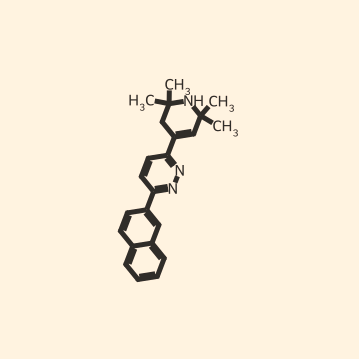 CC1(C)C=C(c2ccc(-c3ccc4ccccc4c3)nn2)CC(C)(C)N1